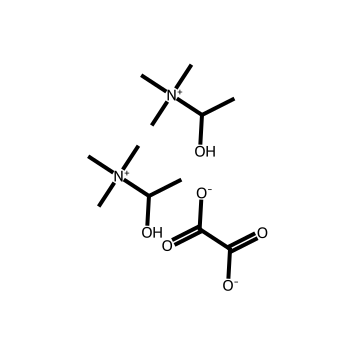 CC(O)[N+](C)(C)C.CC(O)[N+](C)(C)C.O=C([O-])C(=O)[O-]